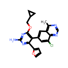 Cc1ncnc2c(Cl)cc(-c3c(OCC4CC4)nc(N)nc3-c3ccco3)cc12